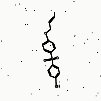 CC=CCOc1ccc(S(=O)(=O)c2ccc(O)cc2)cc1